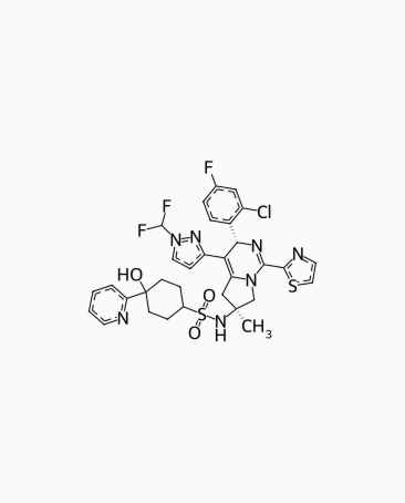 C[C@]1(NS(=O)(=O)C2CCC(O)(c3ccccn3)CC2)CC2=C(c3ccn(C(F)F)n3)[C@H](c3ccc(F)cc3Cl)N=C(c3nccs3)N2C1